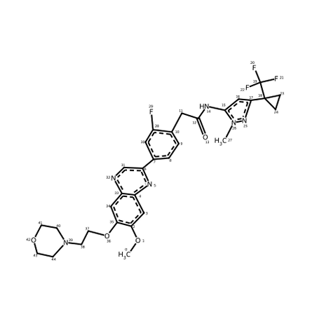 COc1cc2nc(-c3ccc(CC(=O)Nc4cc(C5(C(F)(F)F)CC5)nn4C)c(F)c3)cnc2cc1OCCN1CCOCC1